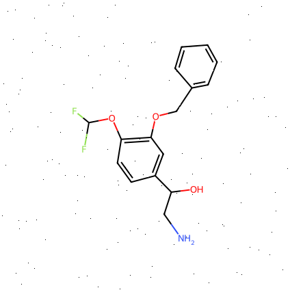 NCC(O)c1ccc(OC(F)F)c(OCc2ccccc2)c1